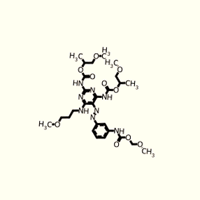 COCCCNc1nc(NC(=O)OC(C)COC)nc(NC(=O)OC(C)COC)c1N=Nc1cccc(NC(=O)OCOC)c1